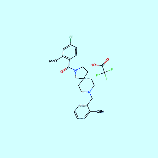 COc1cc(Cl)ccc1C(=O)N1CCC2(CCN(Cc3ccccc3OCC(C)C)CC2)C1.O=C(O)C(F)(F)F